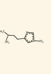 CN(C)CCc1cn(C)cn1